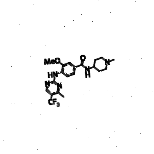 COc1cc(C(=O)NC2CCN(C)CC2)ccc1Nc1ncc(C(F)(F)F)c(C)n1